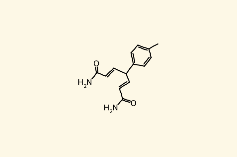 Cc1ccc(C(C=CC(N)=O)C=CC(N)=O)cc1